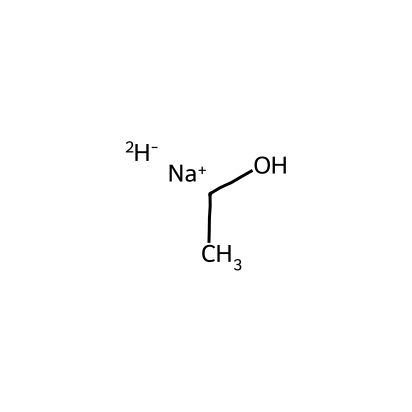 CCO.[2H-].[Na+]